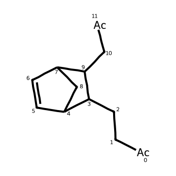 CC(=O)CCC1C2C=CC(C2)C1CC(C)=O